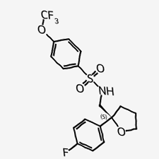 O=S(=O)(NC[C@@]1(c2ccc(F)cc2)CCCO1)c1ccc(OC(F)(F)F)cc1